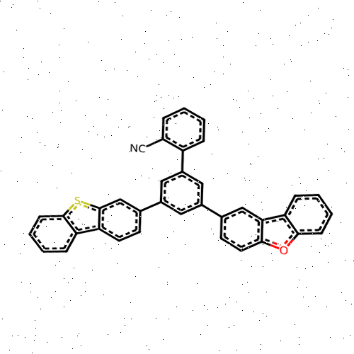 N#Cc1ccccc1-c1cc(-c2ccc3c(c2)sc2ccccc23)cc(-c2ccc3oc4ccccc4c3c2)c1